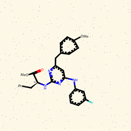 COC(=O)[C@H](CC(C)C)Nc1nc(Cc2ccc(OC)cc2)cc(Nc2cccc(F)c2)n1